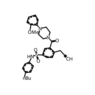 C#CCc1ccc(S(=O)(=O)Nc2ccc(CCCC)cc2)cc1C(=O)N1CCN(c2ccccc2OC)CC1